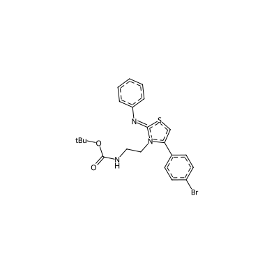 CC(C)(C)OC(=O)NCCn1c(-c2ccc(Br)cc2)csc1=Nc1ccccc1